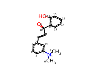 CN(C)c1cccc(C=CC(=O)c2ccccc2O)c1